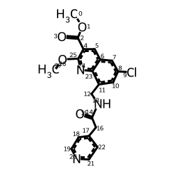 COC(=O)c1cc2cc(Cl)cc(CNC(=O)Cc3ccncc3)c2nc1OC